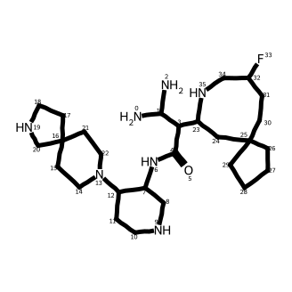 NC(N)C(C(=O)NC1CNCCC1N1CCC2(CCNC2)CC1)C1CC2(CCCC2)CCC(F)CN1